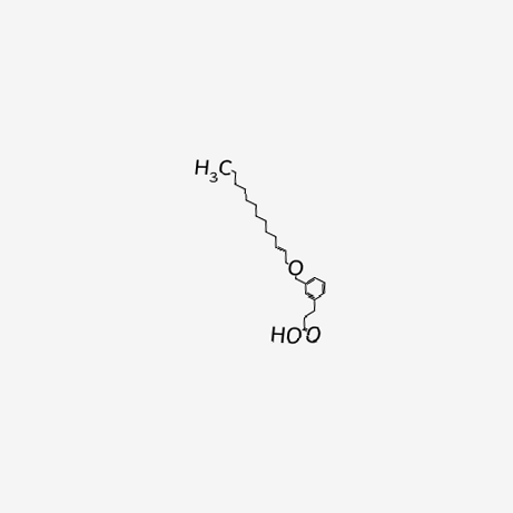 CCCCCCCCCCC=CCOCc1cccc(CCC(=O)O)c1